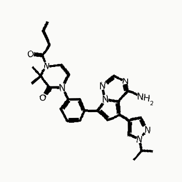 CCCC(=O)N1CCN(c2cccc(-c3cc(-c4cnn(C(C)C)c4)c4c(N)ncnn34)c2)C(=O)C1(C)C